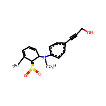 CC(C)(C)C1=CC=CC(N(C(=O)O)c2ccc(C#CCO)cc2)C1=S(=O)=O